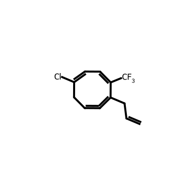 C=CCC1=C=CC/C(Cl)=C\C=C/1C(F)(F)F